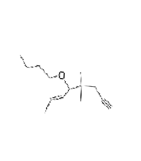 C#CCC(C)(C)C(C=CC)OCCCC